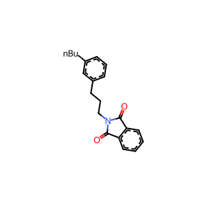 CCCCc1cccc(CCCN2C(=O)c3ccccc3C2=O)c1